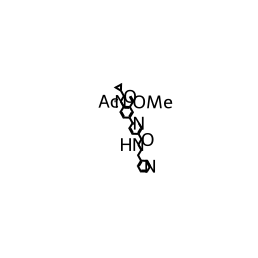 COC(=O)c1cc(-c2ccc(C(=O)NCCc3cccnc3)cn2)ccc1N(CC1CC1)C(C)=O